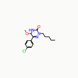 CCCCCN1N=C(c2ccc(Cl)cc2)C(OC)NC1=O